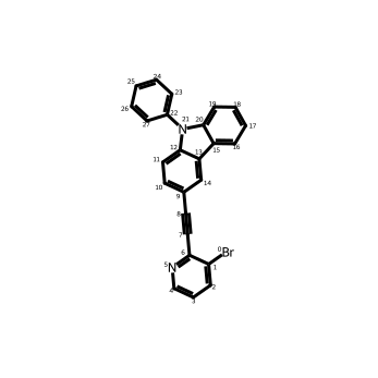 Brc1cccnc1C#Cc1ccc2c(c1)c1ccccc1n2-c1ccccc1